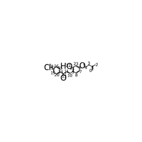 C=C(C)CCOc1ccc(C=CC(=O)c2ccc(Cl)cc2)c(O)c1